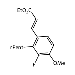 CCCCCc1c(/C=C/C(=O)OCC)ccc(OC)c1F